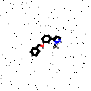 Cn1nccc1C1CCC[C@@H](OCc2ccccc2)C1